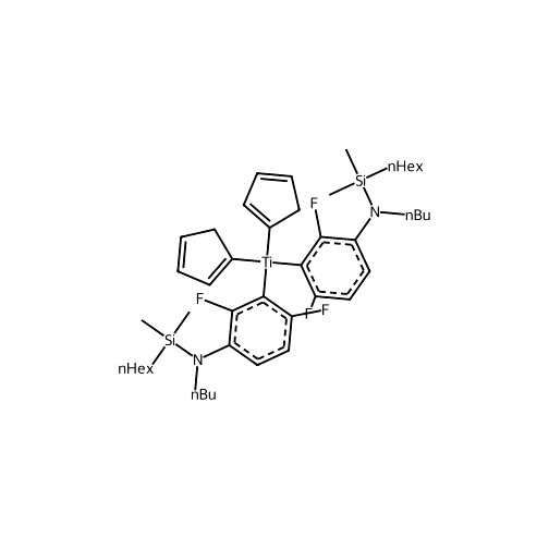 CCCCCC[Si](C)(C)N(CCCC)c1ccc(F)[c]([Ti]([C]2=CC=CC2)([C]2=CC=CC2)[c]2c(F)ccc(N(CCCC)[Si](C)(C)CCCCCC)c2F)c1F